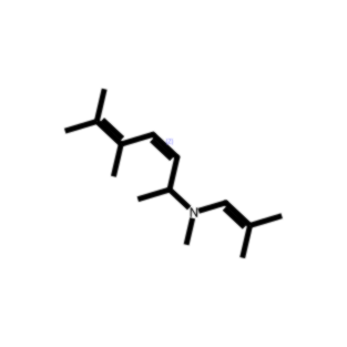 CC(C)=CN(C)C(C)/C=C\C(C)=C(C)C